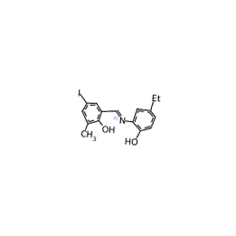 CCc1ccc(O)c(/N=C/c2cc(I)cc(C)c2O)c1